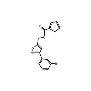 O=C(OCc1cc(-c2cccc(Br)c2)no1)C1=CC=CC1